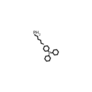 C1CCC(P(C2CCCCC2)C2CCCCC2)CC1.CCCCCCP